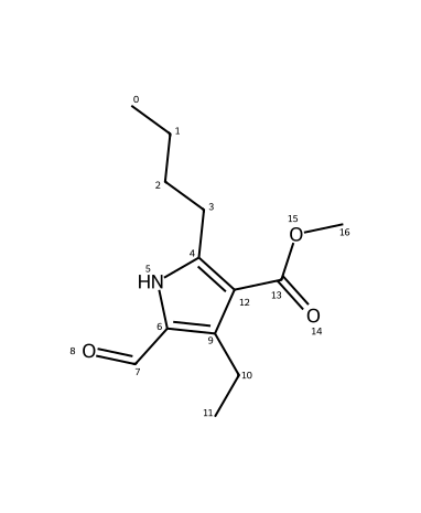 CCCCc1[nH]c(C=O)c(CC)c1C(=O)OC